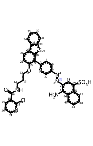 Nc1c(/N=N/c2ccc(-c3c(OCCCNC(=O)c4cccnc4Cl)ccc4c3sc3ccccc34)nc2)cc(S(=O)(=O)O)c2ccccc12